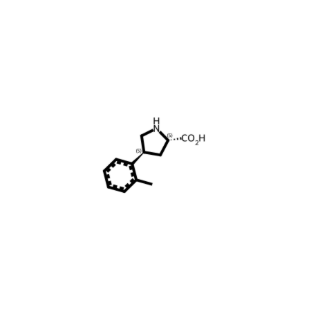 Cc1ccccc1[C@H]1CN[C@H](C(=O)O)C1